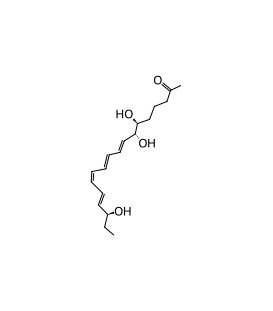 CC[C@H](O)/C=C/C=C\C=C\C=C\[C@@H](O)[C@@H](O)CCCC(C)=O